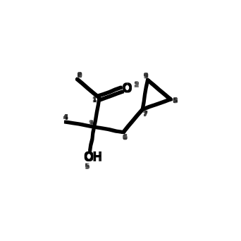 CC(=O)C(C)(O)CC1CC1